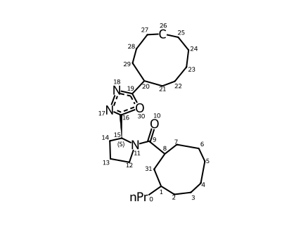 CCCC1CCCCCCC(C(=O)N2CCC[C@H]2c2nnc(C3CCCCCCCCC3)o2)C1